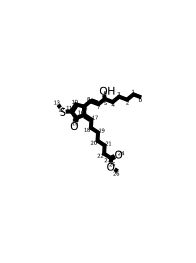 CCCCCC(O)C=CC1C=C(SC)C(=O)C1=CCCCCCC(=O)OC